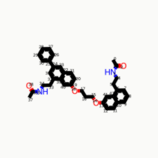 CC(=O)NCCc1cccc2ccc(OCCCOc3ccc4cc(-c5ccccc5)cc(CCNC(C)=O)c4c3)cc12